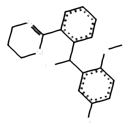 COc1ccc(Br)cc1C(S)c1ccccc1C1=NCCCN1.Cl